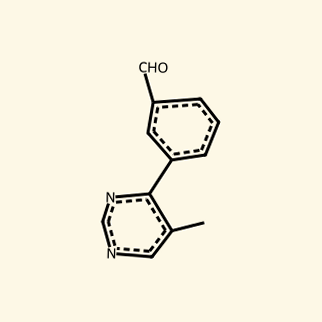 Cc1cncnc1-c1cccc(C=O)c1